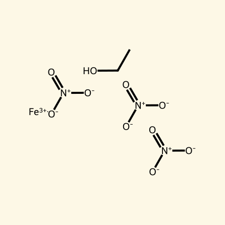 CCO.O=[N+]([O-])[O-].O=[N+]([O-])[O-].O=[N+]([O-])[O-].[Fe+3]